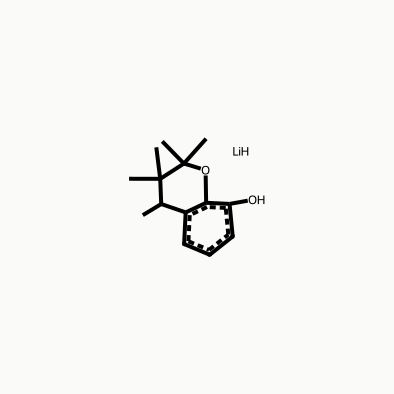 CC1c2cccc(O)c2OC(C)(C)C1(C)C.[LiH]